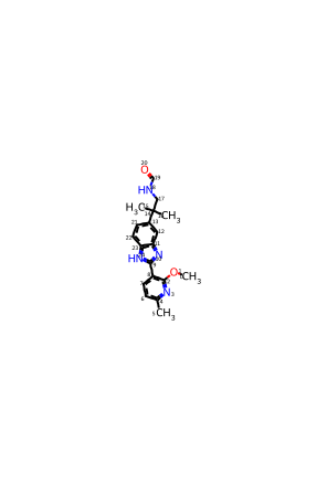 COc1nc(C)ccc1-c1nc2cc(C(C)(C)CNC=O)ccc2[nH]1